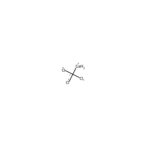 Cl[C](Cl)(Cl)[GaH2]